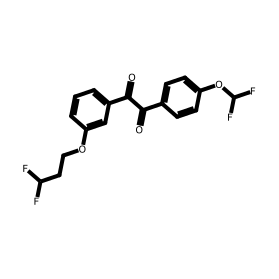 O=C(C(=O)c1cccc(OCCC(F)F)c1)c1ccc(OC(F)F)cc1